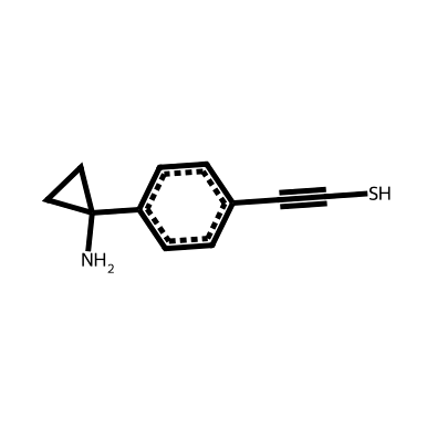 NC1(c2ccc(C#CS)cc2)CC1